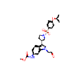 COC(=O)Nc1ccc2c(C3CCN(S(=O)(=O)c4ccc(OC(C)C)cc4)C3)cn(CC=O)c2c1